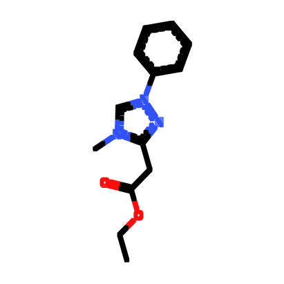 CCOC(=O)Cc1nn(-c2ccccc2)c[n+]1C